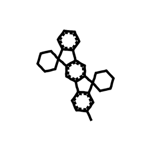 Cc1ccc2c(c1)C1(CCCCC1)c1cc3c(cc1-2)C1(CCCCC1)c1ccccc1-3